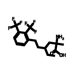 CCC(CCc1cccc(C(F)(F)F)c1C(F)(F)F)CC(C)(N)C(=O)O